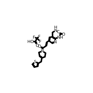 O=C(O)C(F)(F)F.O=C1CNCc2cc(/C=C/C(=O)N3CC=C(Cc4cccs4)CC3)cnc2N1